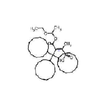 CCOC(C)OC(=O)/C(=C(\C)C(=O)O)C(C1CCCCCCCCC1)(C1CCCCCCCCC1)C1CCCCCCCCC1